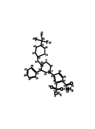 CS(=O)(=O)c1cc(N2CCN(CC3CCC(C(F)(F)F)CC3)C(c3ccccc3)C2)ccc1C(N)=O